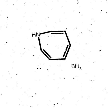 B.C1=CC=CNC=C1